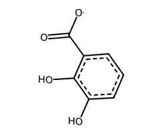 [O]C(=O)c1cccc(O)c1O